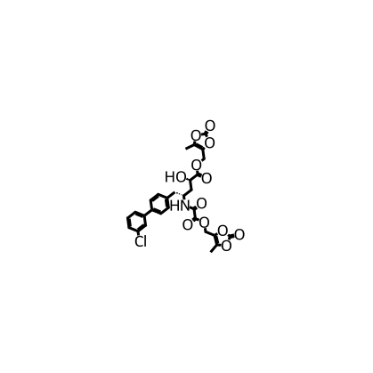 Cc1oc(=O)oc1COC(=O)C(=O)N[C@H](Cc1ccc(-c2cccc(Cl)c2)cc1)C[C@@H](O)C(=O)OCc1oc(=O)oc1C